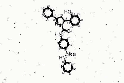 O=C(Nc1ccc([S+]([O-])Nc2ncccn2)cc1)N1N=C(c2cccnc2)CC1c1ccccc1O